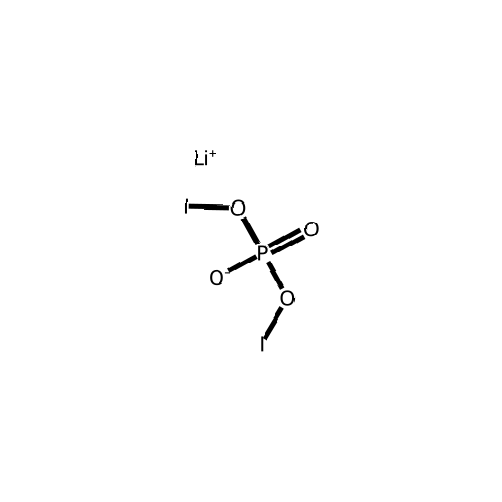 O=P([O-])(OI)OI.[Li+]